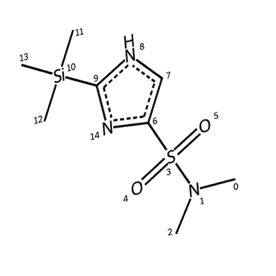 CN(C)S(=O)(=O)c1c[nH]c([Si](C)(C)C)n1